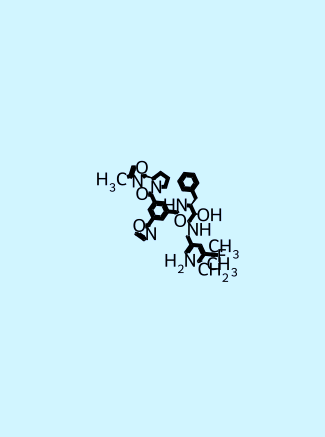 C=C/C(=C\C(=C/N)CNC[C@@H](O)[C@H](Cc1ccccc1)NC(=O)c1cc(C(=O)N2CCC[C@@H]2c2nc(C)co2)cc(-c2ncco2)c1)C(C)(C)F